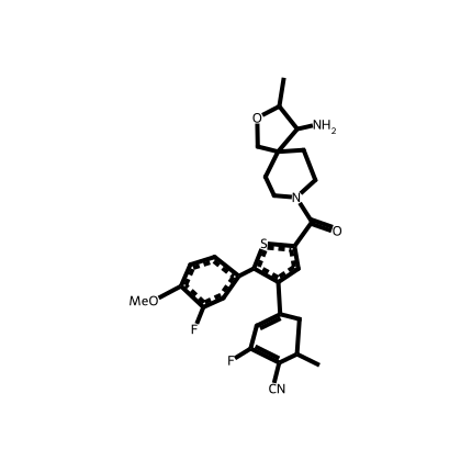 COc1ccc(-c2sc(C(=O)N3CCC4(CC3)COC(C)C4N)cc2C2=CC(F)=C(C#N)C(C)C2)cc1F